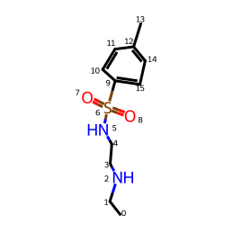 CCNCCNS(=O)(=O)c1ccc(C)cc1